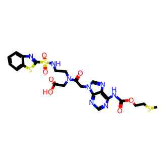 CSCCOC(=O)Nc1ncnc2c1ncn2CC(=O)N(CCNS(=O)(=O)c1nc2ccccc2s1)CC(=O)O